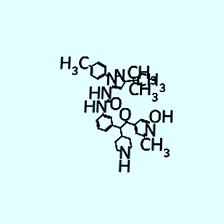 Cc1ccc(-n2nc(C(C)(C)C)cc2NC(=O)Nc2cccc(C(C(=O)c3cc(C)nc(O)c3)C3CCNCC3)c2)cc1